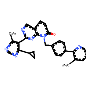 COc1cccnc1-c1ccc(Cn2c(=O)ccc3cnc(-c4c(OC)ncnc4C4CC4)nc32)cc1